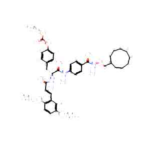 COc1ccc(OC)c(/C=C/C(=O)N[C@@H](Cc2ccc(OC(=O)OC(C)(C)C)cc2)C(=O)Nc2ccc(C(=O)NOCC3CCCCCCCC3)cc2)c1